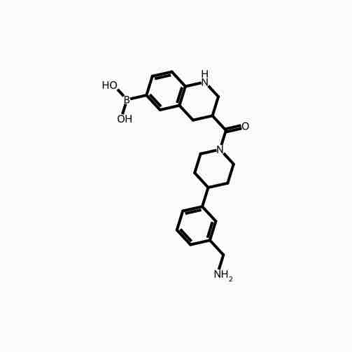 NCc1cccc(C2CCN(C(=O)C3CNc4ccc(B(O)O)cc4C3)CC2)c1